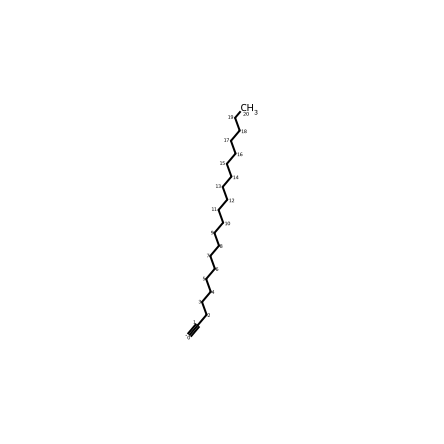 [C]#CCCCCCCCCCCCCCCCCCCC